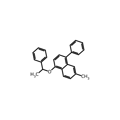 Cc1ccc2c(OC(C)c3ccccc3)ccc(-c3ccccc3)c2c1